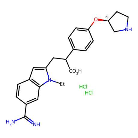 CCn1c(CC(C(=O)O)c2ccc(O[C@H]3CCNC3)cc2)cc2ccc(C(=N)N)cc21.Cl.Cl